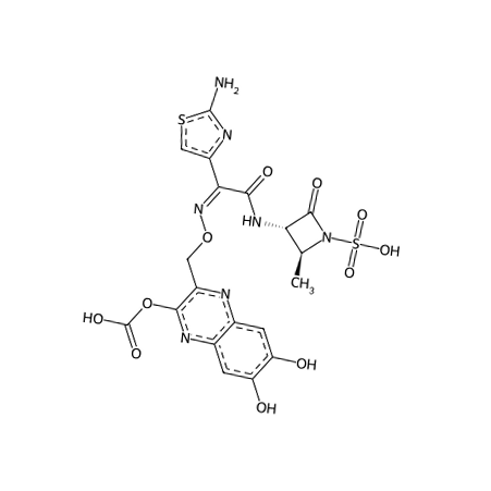 C[C@H]1[C@H](NC(=O)/C(=N\OCc2nc3cc(O)c(O)cc3nc2OC(=O)O)c2csc(N)n2)C(=O)N1S(=O)(=O)O